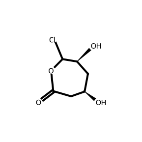 O=C1C[C@H](O)C[C@H](O)C(Cl)O1